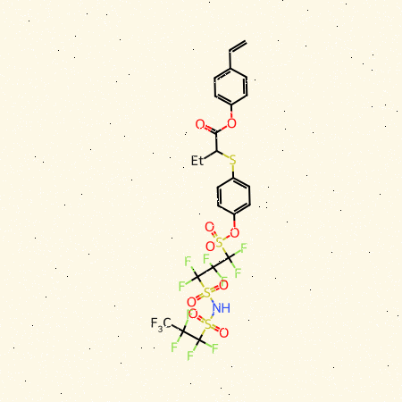 C=Cc1ccc(OC(=O)C(CC)Sc2ccc(OS(=O)(=O)C(F)(F)C(F)(F)C(F)(F)S(=O)(=O)NS(=O)(=O)C(F)(F)C(F)(F)C(F)(F)F)cc2)cc1